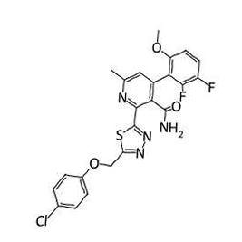 COc1ccc(F)c(F)c1-c1cc(C)nc(-c2nnc(COc3ccc(Cl)cc3)s2)c1C(N)=O